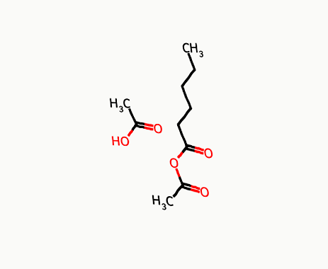 CC(=O)O.CCCCCC(=O)OC(C)=O